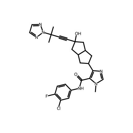 Cn1cnc(C2CC3CC(O)(C#CC(C)(C)n4nccn4)CC3C2)c1C(=O)Nc1ccc(F)c(Cl)c1